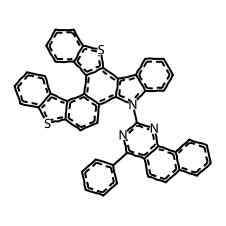 c1ccc(-c2nc(-n3c4ccccc4c4c5sc6ccccc6c5c5c(ccc6sc7ccccc7c65)c43)nc3c2ccc2ccccc23)cc1